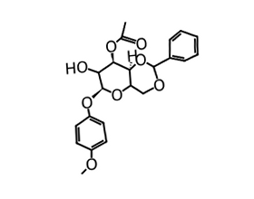 COc1ccc(O[C@@H]2OC3COC(c4ccccc4)O[C@@H]3[C@H](OC(C)=O)C2O)cc1